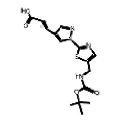 CC(C)(C)OC(=O)NCc1cnc(-n2cc(/C=C/C(=O)O)cn2)s1